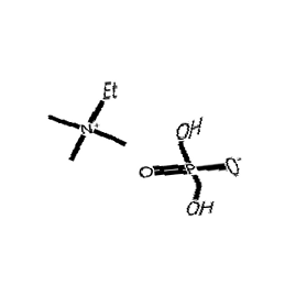 CC[N+](C)(C)C.O=P([O-])(O)O